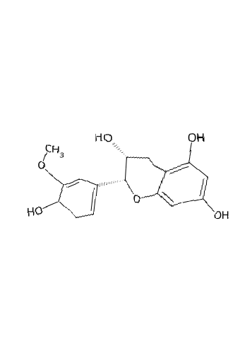 COC1=CC([C@H]2Oc3cc(O)cc(O)c3C[C@H]2O)=CCC1O